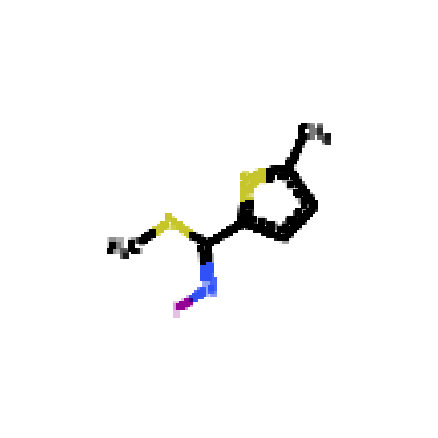 CS/C(=N\I)c1ccc(C)s1